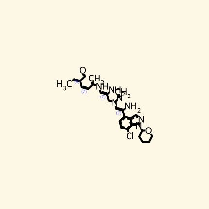 C=NN(/C=C(\N)c1ccc(Cl)c2c1cnn2C1CCCCO1)C/C(N)=C/NC(=C)/C=C\C(C=O)=C/C